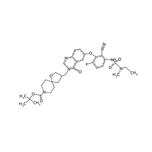 CCN(C)S(=O)(=O)Nc1ccc(F)c(Oc2ccc3ncn(CC4COC5(CCN(C(=O)OC(C)(C)C)CC5)C4)c(=O)c3c2)c1C#N